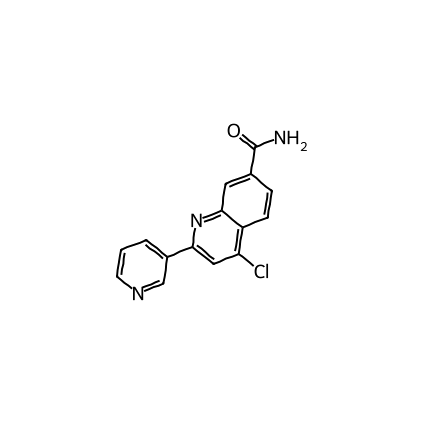 NC(=O)c1ccc2c(Cl)cc(-c3cccnc3)nc2c1